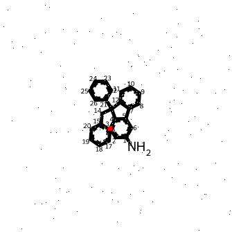 Nc1ccc2c(c1)-c1ccccc1C2(Cc1ccccc1)c1ccccc1